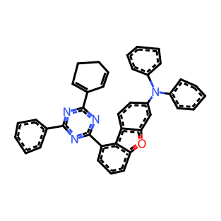 C1=CC(c2nc(-c3ccccc3)nc(-c3cccc4oc5cc(N(c6ccccc6)c6ccccc6)ccc5c34)n2)=CCC1